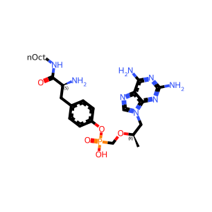 CCCCCCCCNC(=O)[C@@H](N)Cc1ccc(OP(=O)(O)CO[C@H](C)Cn2cnc3c(N)nc(N)nc32)cc1